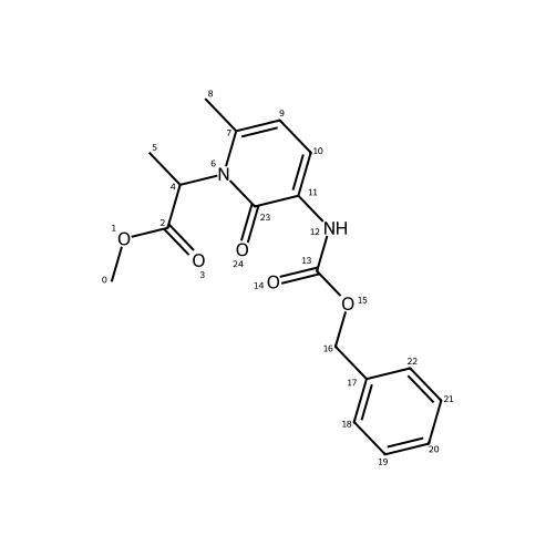 COC(=O)C(C)n1c(C)ccc(NC(=O)OCc2ccccc2)c1=O